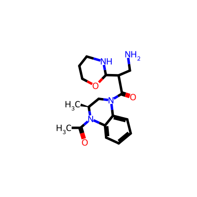 CC(=O)N1c2ccccc2N(C(=O)C(CN)C2NCCCO2)C[C@@H]1C